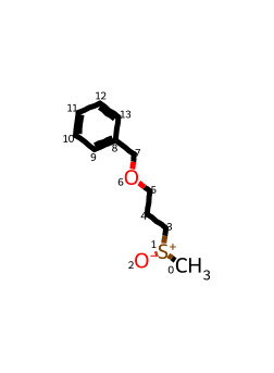 C[S+]([O-])CCCOCc1ccccc1